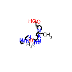 CCc1nc(-c2nnn(C)c2COc2nccc(-n3cccn3)n2)ccc1N1CCC[C@H](CC(=O)O)C1